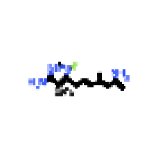 C=C(N)/C=C(C)/C=C/C/C(=C(\SC)C(=N)N)N(C)F